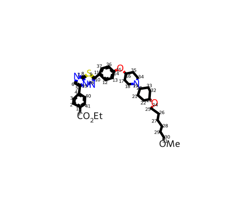 CCOC(=O)c1ccc(-c2cnc3sc(-c4ccc(OC5CCN(C6CCC(OCCCCCCOC)CC6)CC5)cc4)nn23)cc1